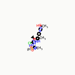 Cc1cc(Nc2ncc(Cl)c(Nc3cn(C)nc3S(=O)(=O)C(C)C)n2)c(OC2CC2)cc1[C@H]1CC[C@@H](N2CCN(C(C)O)CC2)CC1